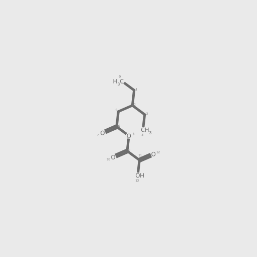 CCC(CC)CC(=O)OC(=O)C(=O)O